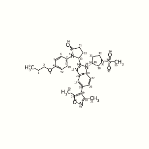 CCCOc1ccc(N2C(=O)CCC2c2nc3cc(-c4c(C)noc4C)ccc3n2[C@@H]2CCN(S(C)(=O)=O)C2)cc1